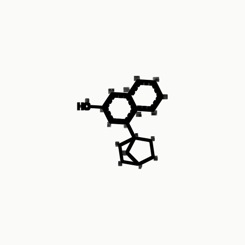 Oc1cc(C23CCC(CC2)C3)c2ccccc2c1